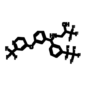 OC(CNC(c1cccc(Oc2ccnc(C(F)(F)F)c2)c1)c1cccc(C(F)(F)C(F)(F)F)c1)C(F)(F)F